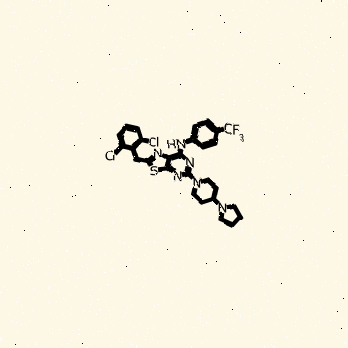 FC(F)(F)c1ccc(Nc2nc(N3CCC(N4CCCC4)CC3)nc3sc(Cc4c(Cl)cccc4Cl)nc23)cc1